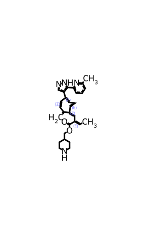 C=C1\C=C/C(c2cn[nH]c2-c2cccc(C)n2)=C/C=C/C1=C/C(=C\C)C(=O)OCC1CCNCC1